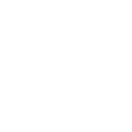 CCCCCCCCSC(=S)NNC(=S)NC(CC)(CC)N=NC(C)(C)C